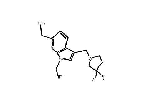 CC(C)Cn1cc(CN2CCC(F)(F)C2)c2ccc(CO)nc21